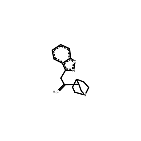 C=C(Cc1noc2ccccc12)C1CN2CCC1CC2